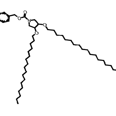 CCCCCCCCCCCCCCCCCCOC1CN(C(=O)OCc2ccccc2)CC1OCCCCCCCCCCCCCCCCCC